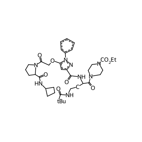 CCOC(=O)N1CCN(C(=O)C(CCNC(=O)C(C)(C)C)NC(=O)c2cc(OCC(=O)N3CCCC3C(=O)NC3CCC3)n(-c3ccccc3)n2)CC1